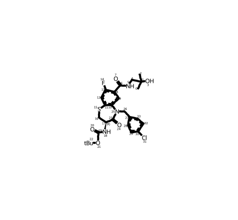 CC(C)(O)CNC(=O)c1cc2c(cc1F)SC[C@H](NC(=O)OC(C)(C)C)C(=O)N2Cc1ccc(Cl)cc1